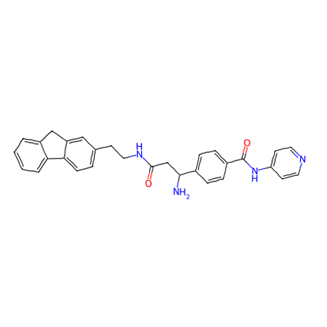 NC(CC(=O)NCCc1ccc2c(c1)Cc1ccccc1-2)c1ccc(C(=O)Nc2ccncc2)cc1